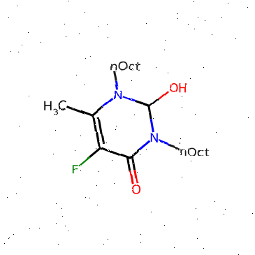 CCCCCCCCN1C(=O)C(F)=C(C)N(CCCCCCCC)C1O